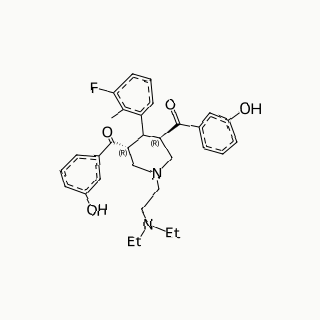 CCN(CC)CCN1C[C@H](C(=O)c2cccc(O)c2)C(c2cccc(F)c2C)[C@@H](C(=O)c2cccc(O)c2)C1